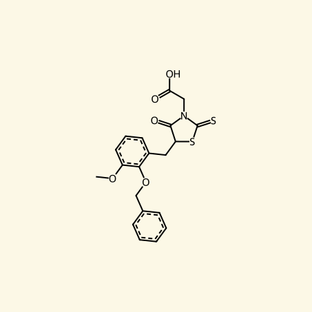 COc1cccc(CC2SC(=S)N(CC(=O)O)C2=O)c1OCc1ccccc1